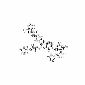 COC(=O)[C@H](CCNC(=O)[C@H](CCCCNC(=O)OCc1ccccc1)N(C)C(=O)Cc1ccc(NC(=O)Nc2ccccc2C)cc1)NC(=O)[C@@H]1CCCN1Cc1ccccc1